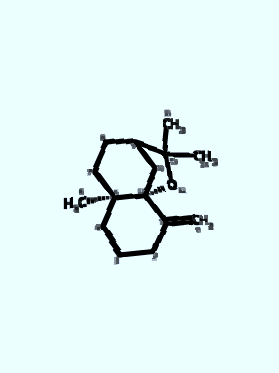 C=C1CCC[C@@]2(C)CCC3C[C@@]12OC3(C)C